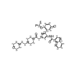 O=C(Nc1cn(CC(=O)N2CCN(CCN3CCOCC3)CC2)nc1-c1cc(Cl)ccc1OC(F)F)c1cnc2cccnn12